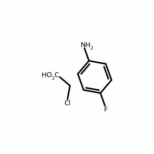 Nc1ccc(F)cc1.O=C(O)CCl